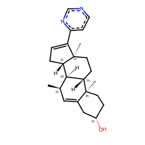 C[C@@H]1C=C2C[C@@H](O)CC[C@]2(C)[C@H]2CC[C@]3(C)C(c4ccncn4)=CC[C@H]3[C@H]12